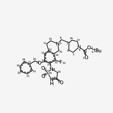 CC(C)(C)OC(=O)N1CCC(CN2CCc3cc(OCc4ccccc4)c(N4CC(=O)NS4(=O)=O)c(F)c3C2)CC1